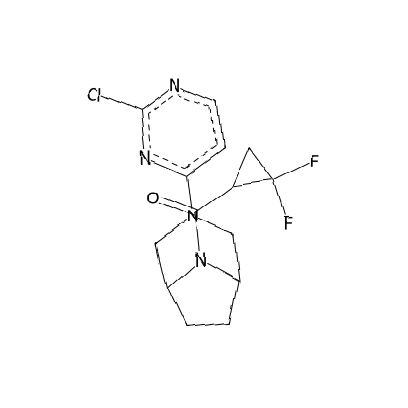 O=C(C1CC1(F)F)N1C2CCC1CN(c1ccnc(Cl)n1)C2